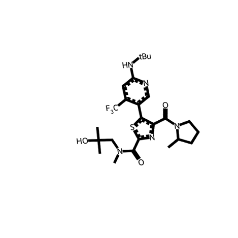 CC1CCCN1C(=O)c1nc(C(=O)N(C)CC(C)(C)O)sc1-c1cnc(NC(C)(C)C)cc1C(F)(F)F